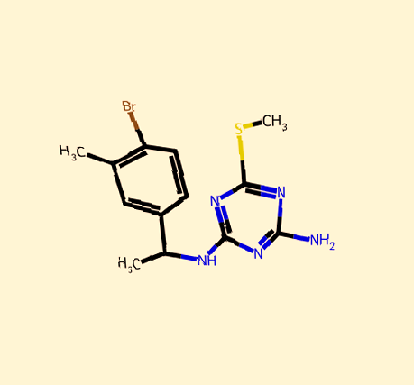 CSc1nc(N)nc(NC(C)c2ccc(Br)c(C)c2)n1